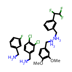 COc1ccc(CN)cc1OC.NCc1ccc(Cl)c(Cl)c1.NCc1cccc(C(F)C(F)F)c1.NCc1cccc(F)c1